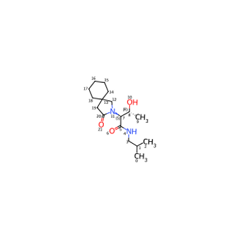 CC(C)CNC(=O)[C@H]([C@@H](C)O)N1CC2(CCCCC2)CC1=O